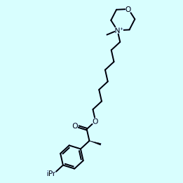 CC(C)c1ccc([C@H](C)C(=O)OCCCCCCCC[N+]2(C)CCOCC2)cc1